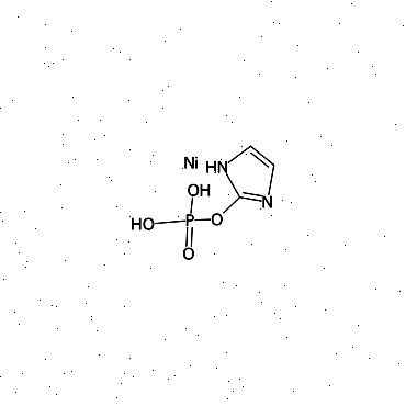 O=P(O)(O)Oc1ncc[nH]1.[Ni]